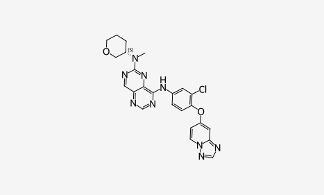 CN(c1ncc2ncnc(Nc3ccc(Oc4ccn5ncnc5c4)c(Cl)c3)c2n1)[C@H]1CCCOC1